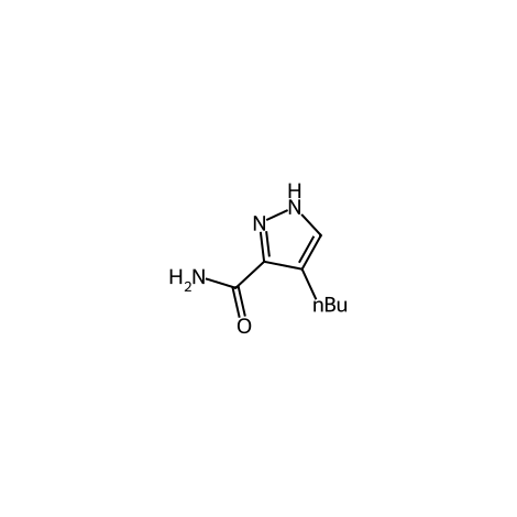 CCCCc1c[nH]nc1C(N)=O